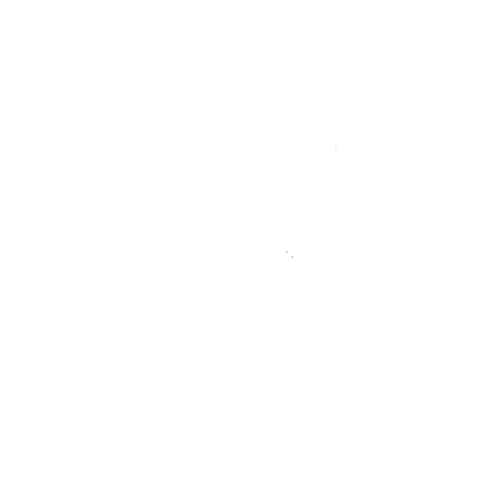 Fc1ccc(NC2CCC=C(c3ccccc3)O2)cc1